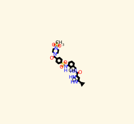 CN/C(=C\C(=N)C1CC1)C(=O)NCc1cccc(NS(=O)(=O)c2ccc(C(=O)N3CCN(S(C)(=O)=O)CC3)cc2)c1C